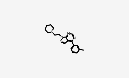 Cc1cccc(-c2ncnc3c2cnn3CCN2CCCCC2)c1